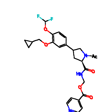 CC(=O)N1CC(c2ccc(OC(F)F)c(OCC3CC3)c2)C[C@@H]1C(=O)NCOC(=O)c1ccncc1